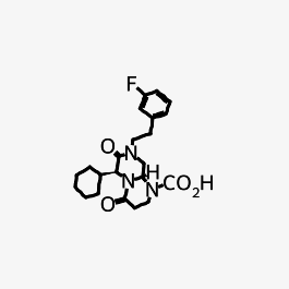 O=C1[C@H](C2CCCCC2)N2C(=O)CCN(C(=O)O)[C@H]2CN1CCc1cccc(F)c1